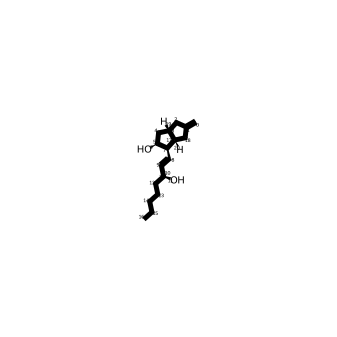 C=C1C[C@H]2C[C@@H](O)[C@H](/C=C/[C@@H](O)CCCCC)[C@@H]2C1